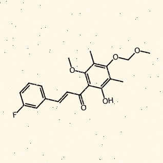 COCOc1c(C)c(O)c(C(=O)C=Cc2cccc(F)c2)c(OC)c1C